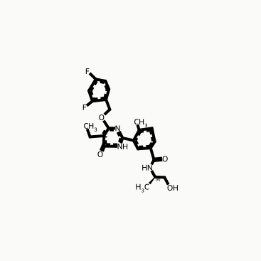 CCc1c(OCc2ccc(F)cc2F)nc(-c2cc(C(=O)N[C@H](C)CO)ccc2C)[nH]c1=O